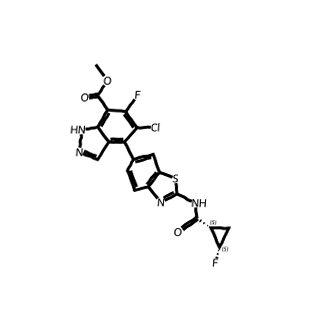 COC(=O)c1c(F)c(Cl)c(-c2ccc3nc(NC(=O)[C@@H]4C[C@@H]4F)sc3c2)c2cn[nH]c12